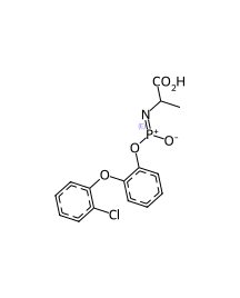 CC(/N=[P+](\[O-])Oc1ccccc1Oc1ccccc1Cl)C(=O)O